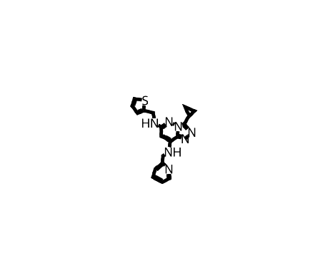 c1ccc(CNc2cc(NCc3cccs3)nn3c(C4CC4)nnc23)nc1